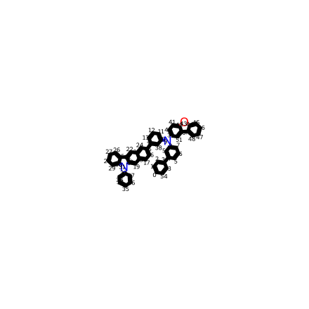 c1ccc(-c2cccc(N(c3cccc(-c4ccc5cc6c(cc5c4)c4ccccc4n6-c4ccccc4)c3)c3ccc4oc5ccccc5c4c3)c2)cc1